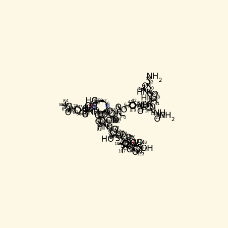 CCN(C(=O)OCc1ccc(NC(=O)[C@H](CCCNC(N)=O)NC(=O)[C@@H](NC(=O)[C@H](CCCCN)NC(C)=O)C(C)C)cc1)[C@H]1CO[C@@H](O[C@H]2[C@H](O[C@H]3C#C/C=C\C#C[C@]4(O)CC(=O)C(NC(=O)OC)=C3/C4=C\CSSC3CCN(C(=O)OC(C)(C)C)CC3)O[C@H](C)[C@@H](NO[C@H]3C[C@H](O)[C@H](SC(=O)c4c(C)c(I)c(O[C@@H]5O[C@@H](C)[C@H](O)[C@@H](OC)[C@H]5O)c(OC)c4OC)[C@@H](C)O3)[C@@H]2O)C[C@@H]1OC